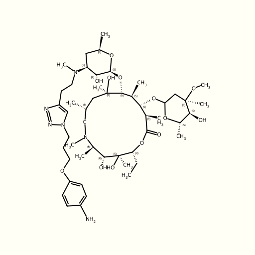 CC[C@H]1OC(=O)[C@H](C)[C@@H](OC2C[C@@](C)(OC)[C@@H](O)[C@H](C)O2)[C@H](C)[C@@H](O[C@@H]2O[C@H](C)C[C@H](N(C)CCc3cn(CCCOc4ccc(N)cc4)nn3)[C@H]2O)[C@](C)(O)C[C@@H](C)CN(C)[C@H](C)[C@@H](O)[C@]1(C)O